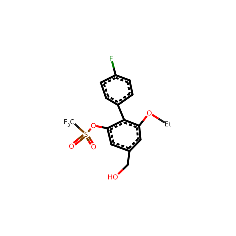 CCOc1cc(CO)cc(OS(=O)(=O)C(F)(F)F)c1-c1ccc(F)cc1